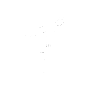 O=C(CCCCCO[N+](=O)[O-])NCCC(=O)O[C@H](/C=C/[C@@H]1C[C@@H](O)C[C@H]1O)COc1cccc(C(F)(F)F)c1